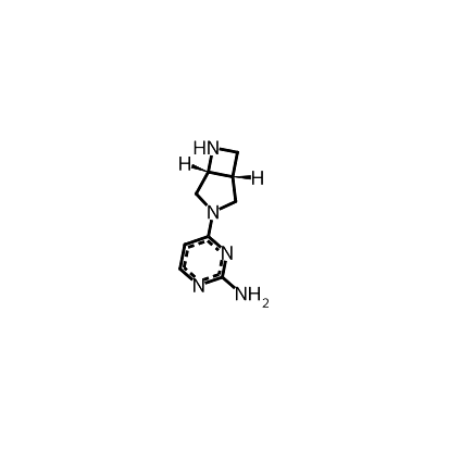 Nc1nccc(N2C[C@H]3CN[C@H]3C2)n1